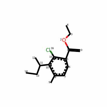 C=C(OCC)c1ccc(C)c(C(C)CC)c1Cl